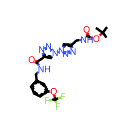 CC(C)(C)OC(=O)NCc1cn(-n2cc(C(=O)NCc3cccc(OC(F)(F)F)c3)nn2)nn1